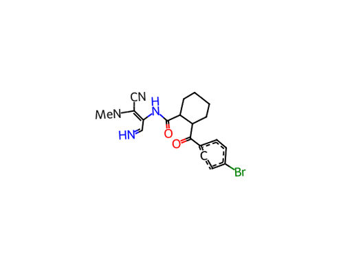 CN/C(C#N)=C(\C=N)NC(=O)C1CCCCC1C(=O)c1ccc(Br)cc1